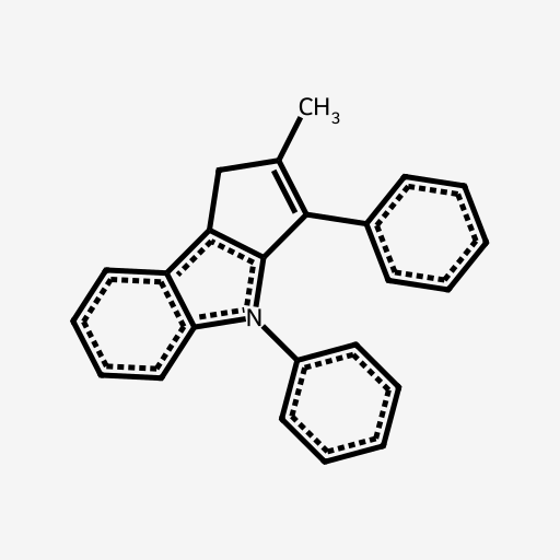 CC1=C(c2ccccc2)c2c(c3ccccc3n2-c2ccccc2)C1